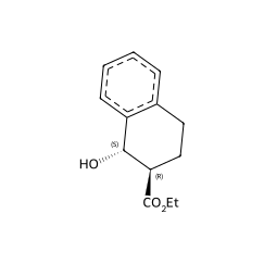 CCOC(=O)[C@@H]1CCc2ccccc2[C@H]1O